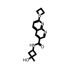 CC1(O)CC(NC(=O)c2cnc3nc(N4CCC4)ccc3c2)C1